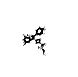 CC(=O)CNC(=O)[C@H]1C[C@H](c2c(-c3ccc(F)cc3)[nH]c3c(F)cc(F)cc32)C1